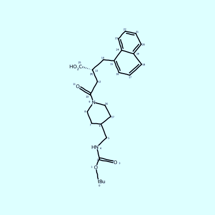 CC(C)(C)OC(=O)NCC1CCN(C(=O)C[C@@H](Cc2cccc3ccccc23)C(=O)O)CC1